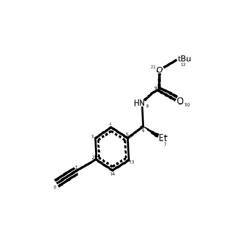 C#Cc1ccc([C@H](CC)NC(=O)OC(C)(C)C)cc1